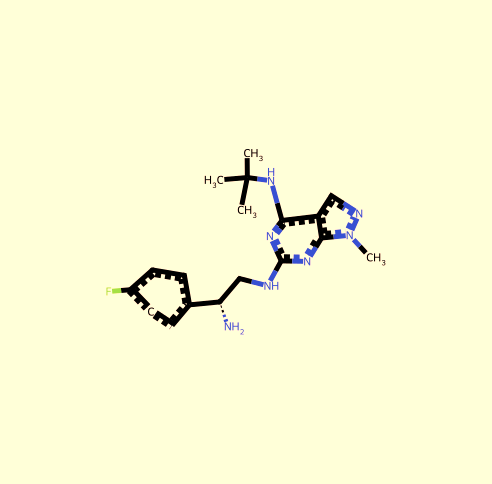 Cn1ncc2c(NC(C)(C)C)nc(NC[C@H](N)c3ccc(F)cc3)nc21